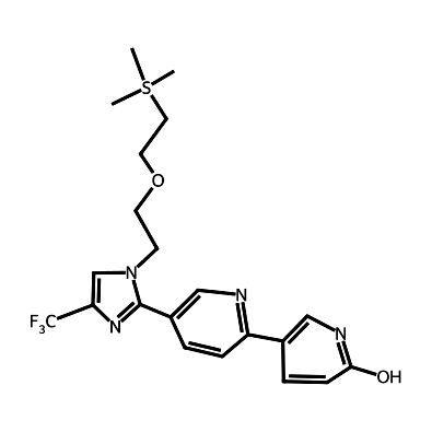 CS(C)(C)CCOCCn1cc(C(F)(F)F)nc1-c1ccc(-c2ccc(O)nc2)nc1